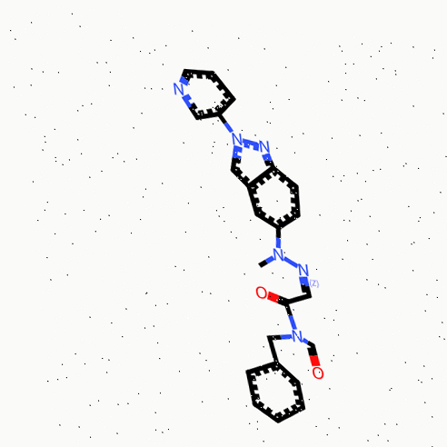 CN(/N=C\C(=O)N(C=O)Cc1ccccc1)c1ccc2nn(-c3cccnc3)cc2c1